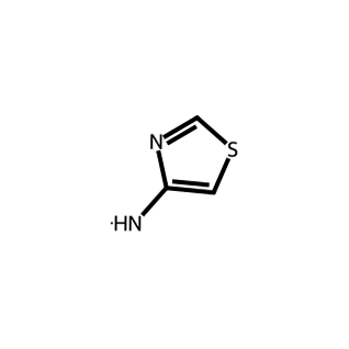 [NH]c1cscn1